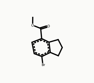 COC(=O)c1ccc(Br)c2c1CCC2